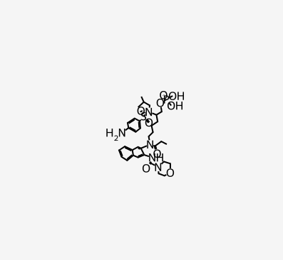 CCC(=O)N(CCCCC(COP(=O)(O)O)N(CC(C)C)S(=O)(=O)c1ccc(N)cc1)c1cc2ccccc2cc1NC(=O)N1CCOCC1